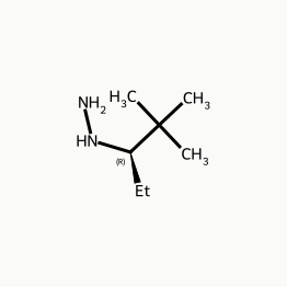 CC[C@@H](NN)C(C)(C)C